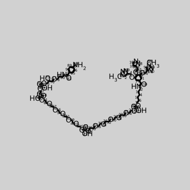 Cn1cc(COc2cc(C(=O)NCCCCCCOP(=O)(O)OCCOCCOCCOCCOCCOCCOP(=O)(O)OCCOCCOCCOCCOCCOCCOP(=O)(O)OCOP(=O)(O)OCC(O)COCCCNC(=O)c3ccc(N)cc3)cc(OCc3cn(C)nn3)c2OCC2=CCN=N2)nn1